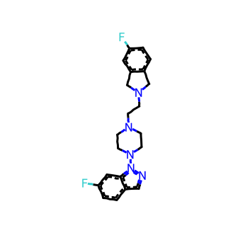 Fc1ccc2c(c1)CN(CCN1CCN(n3ncc4ccc(F)cc43)CC1)C2